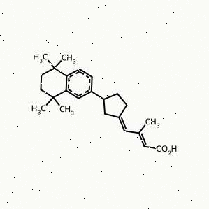 CC(=C\C(=O)O)/C=C1\CCC(c2ccc3c(c2)C(C)(C)CCC3(C)C)C1